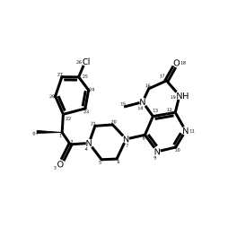 [CH2][C@H](C(=O)N1CCN(c2ncnc3c2N(C)CC(=O)N3)CC1)c1ccc(Cl)cc1